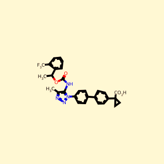 Cc1nnn(-c2ccc(-c3ccc(C4(C(=O)O)CC4)cc3)cc2)c1NC(=O)OC(C)c1ccccc1C(F)(F)F